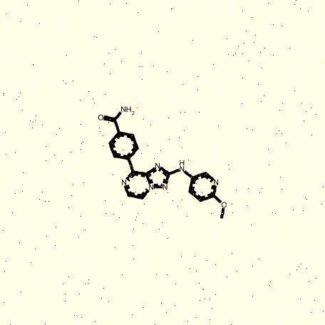 COc1ccc(Nc2nc3c(-c4ccc(C(N)=O)cc4)nccn3n2)cn1